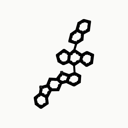 c1ccc2cc(-c3c4ccccc4c(-c4cccc5c4oc4cc6oc7ccccc7c6cc45)c4ccccc34)ccc2c1